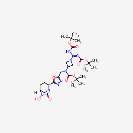 CC(C)(C)OC(=O)/N=C(/NC(=O)OC(C)(C)C)N1CC(N(Cc2nnc([C@@H]3CC[C@H]4CN3C(=O)N4O)o2)C(=O)OC(C)(C)C)C1